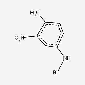 Cc1ccc(NBr)cc1[N+](=O)[O-]